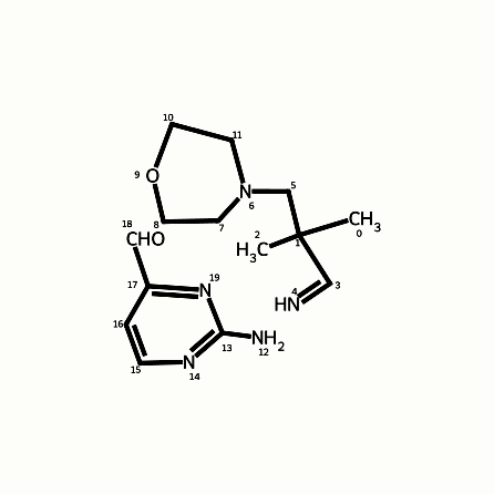 CC(C)(C=N)CN1CCOCC1.Nc1nccc(C=O)n1